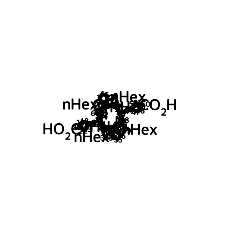 CCCCCCOc1cccc(OCCCCCC)c1-c1c2nc(c(C#Cc3ccc(C(=O)O)cc3)c3ccc([nH]3)c(-c3c(OCCCCCC)cccc3OCCCCCC)c3nc(c(C#Cc4ccc(C(=O)O)cc4)c4ccc1[nH]4)C=C3)C=C2